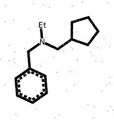 CCN(Cc1ccccc1)CC1CCCC1